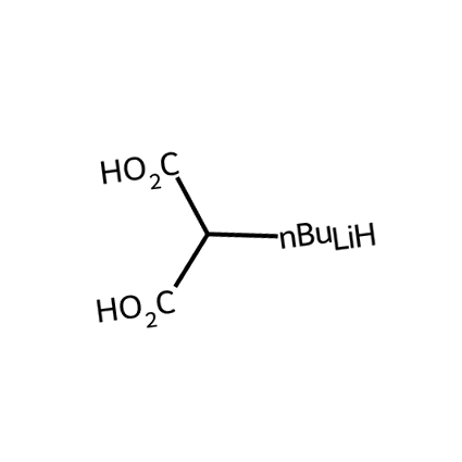 CCCCC(C(=O)O)C(=O)O.[LiH]